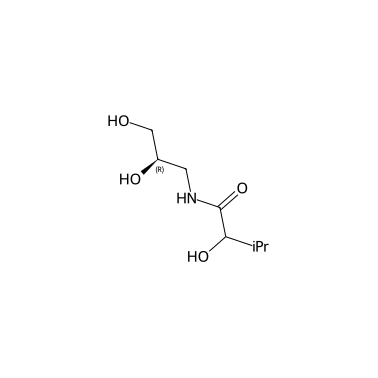 CC(C)C(O)C(=O)NC[C@@H](O)CO